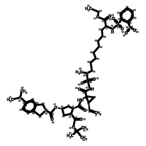 C=C[C@@H]1C[C@]1(NC(=O)[C@@H]1C[C@@H](OC(=O)N2Cc3ccc(N(C)C)cc3C2)CN1C(=O)OC(C)(C)C)C(=O)NS(=O)(=O)N(C)CCCCCCCC[C@H](NS(=O)(=O)c1ccccc1[N+](=O)[O-])C(=O)OCC